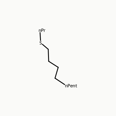 CCCCCCCCCSCCC